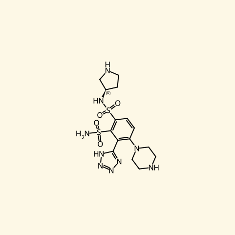 NS(=O)(=O)c1c(S(=O)(=O)N[C@@H]2CCNC2)ccc(N2CCNCC2)c1-c1nnn[nH]1